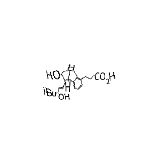 CCC(C)[C@H](O)/C=C/[C@@H]1[C@H]2c3cccc(CCCC(=O)O)c3C[C@H]2C[C@H]1O